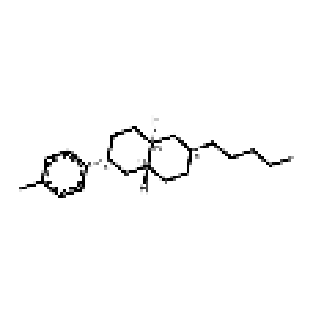 CCCCC[C@H]1CC[C@@H]2C[C@H](c3ccc(C)cc3)CC[C@H]2C1